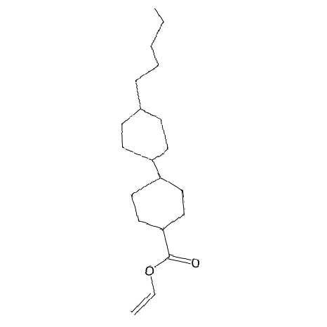 C=COC(=O)C1CCC(C2CCC(CCCCC)CC2)CC1